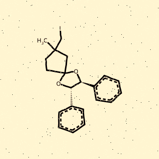 CC1(CI)CCC2(C1)O[C@@H](c1ccccc1)[C@H](c1ccccc1)O2